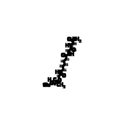 CC(C)(C)OCC(C)(C)OCC(=O)NCCCCCC(=O)NCC(=O)NCC(N)=O